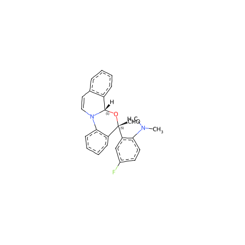 CN(C)c1ccc(F)cc1[C@@]1(C=O)O[C@H]2c3ccccc3C=CN2c2ccccc21